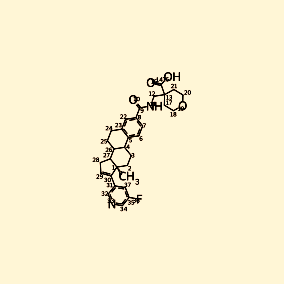 C[C@]12CCC3c4ccc(C(=O)NCC5(C(=O)O)CCOCC5)cc4CCC3C1CC=C2c1cncc(F)c1